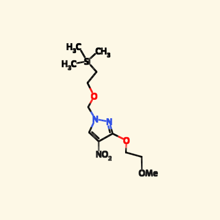 COCCOc1nn(COCC[Si](C)(C)C)cc1[N+](=O)[O-]